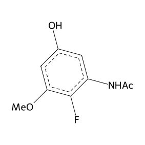 COc1cc(O)cc(NC(C)=O)c1F